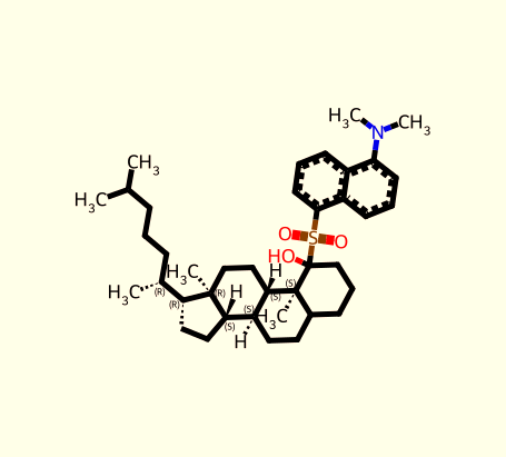 CC(C)CCC[C@@H](C)[C@H]1CC[C@H]2[C@@H]3CCC4CCCC(O)(S(=O)(=O)c5cccc6c(N(C)C)cccc56)[C@]4(C)[C@H]3CC[C@]12C